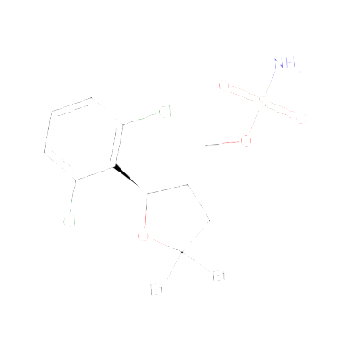 CCC1(CC)C[C@@H](COS(N)(=O)=O)[C@H](c2c(Cl)cccc2Cl)O1